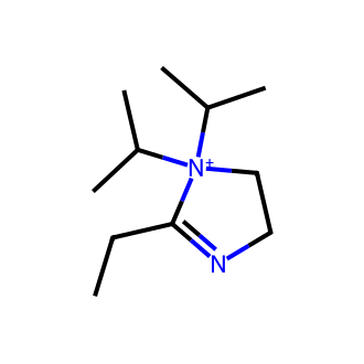 CCC1=NCC[N+]1(C(C)C)C(C)C